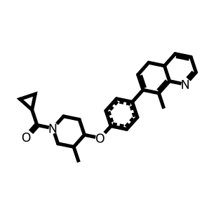 CC1=C2N=CC=CC2CC=C1c1ccc(OC2CCN(C(=O)C3CC3)CC2C)cc1